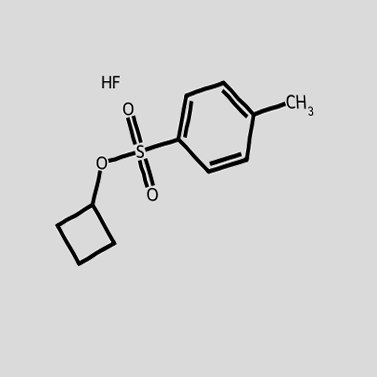 Cc1ccc(S(=O)(=O)OC2CCC2)cc1.F